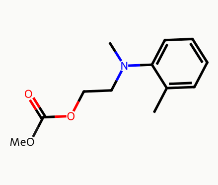 COC(=O)OCCN(C)c1ccccc1C